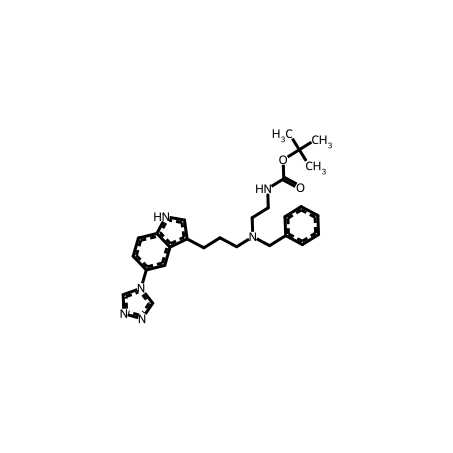 CC(C)(C)OC(=O)NCCN(CCCc1c[nH]c2ccc(-n3cnnc3)cc12)Cc1ccccc1